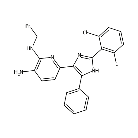 CC(C)CNc1nc(-c2nc(-c3c(F)cccc3Cl)[nH]c2-c2ccccc2)ccc1N